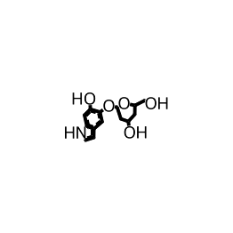 OCC1CC(O)CC(Oc2cc3cc[nH]c3cc2O)O1